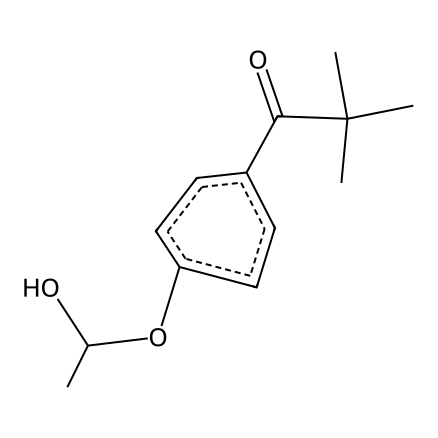 CC(O)Oc1ccc(C(=O)C(C)(C)C)cc1